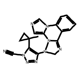 CC1(c2c(N3CN=C4c5ccccc5-n5cncc5N43)nnn2C#N)CC1